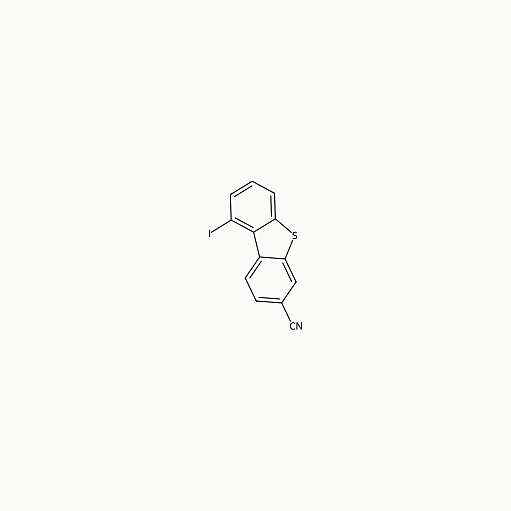 N#Cc1ccc2c(c1)sc1cccc(I)c12